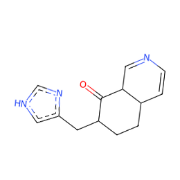 O=C1C(Cc2c[nH]cn2)CCC2C=CN=CC12